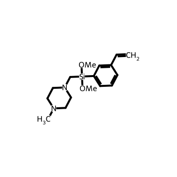 C=Cc1cccc([Si](CN2CCN(C)CC2)(OC)OC)c1